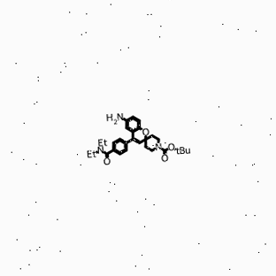 CCN(CC)C(=O)c1ccc(C2=CC3(CCN(C(=O)OC(C)(C)C)CC3)Oc3ccc(N)cc32)cc1